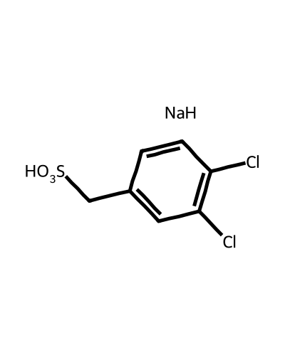 O=S(=O)(O)Cc1ccc(Cl)c(Cl)c1.[NaH]